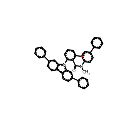 CN(C(=O)c1c(C=O)cccc1-n1c2cc(-c3ccccc3)ccc2c2ccc(-c3ccccc3)cc21)c1ccc(-c2ccccc2)cc1